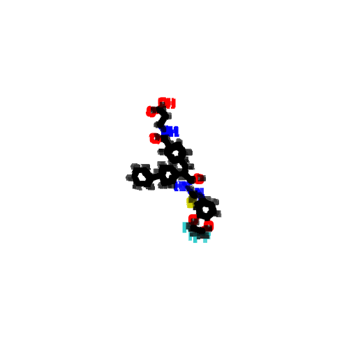 O=C(O)CCNC(=O)c1ccc(CC(C(=O)Nc2nc3ccc4c(c3s2)OC(F)(F)C(F)(F)O4)c2ccc(C3=CCCCC3)cc2)cc1